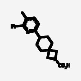 Cc1ccc(C2CCC3(CC2)CN(C(=O)O)C3)nc1C(C)C